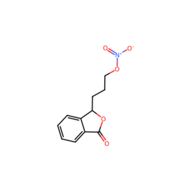 O=C1OC(CCCO[N+](=O)[O-])c2ccccc21